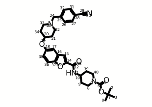 CC(C)(C)OC(=O)N1CCC(NC(=O)c2cc3cc(OC4CCN(Cc5ccc(C#N)cc5)CC4)ccc3o2)CC1